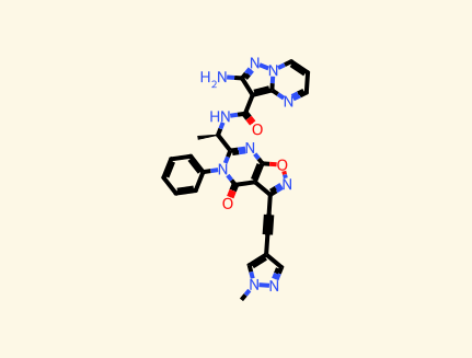 C[C@@H](NC(=O)c1c(N)nn2cccnc12)c1nc2onc(C#Cc3cnn(C)c3)c2c(=O)n1-c1ccccc1